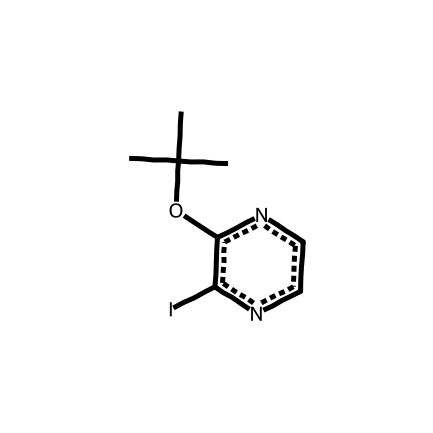 CC(C)(C)Oc1nccnc1I